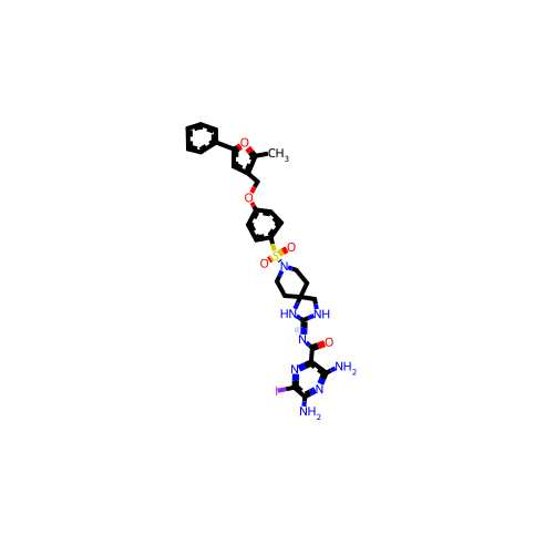 Cc1oc(-c2ccccc2)cc1COc1ccc(S(=O)(=O)N2CCC3(CC2)CN/C(=N\C(=O)c2nc(I)c(N)nc2N)N3)cc1